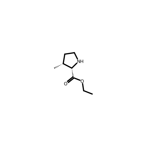 CCOC(=O)[C@H]1NCC[C@H]1C